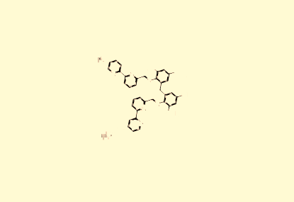 Br.Br.Br.Br.Cc1cc(C)c(N=Cc2cccc(-c3ccccn3)n2)c(Cc2cc(C)cc(C)c2N=Cc2cccc(-c3ccccn3)n2)c1.[Co].[Co]